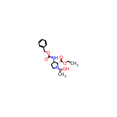 CCOC(=O)[C@H]1[C@H](NC(=O)OCc2ccccc2)CCN1B(C)O